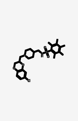 Cc1c(C)c(C)c(S(=O)(=O)NCC2CCN(CC3COc4ccc(Cl)cc4O3)CC2)c(C)c1C